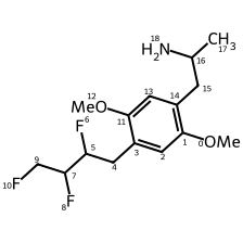 COc1cc(CC(F)C(F)CF)c(OC)cc1CC(C)N